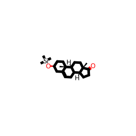 C[C@]12CC[C@H](O[Si](C)(C)C)CC1=CCC1[C@@H]2CC[C@]2(C)C(=O)CC[C@@H]12